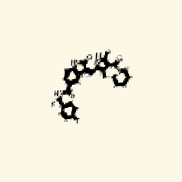 Cc1[nH]c(/C=C2\C(=O)Nc3ccc(C(=O)N[C@@H](C)c4ccc(F)cc4)cc32)c(C)c1C(=O)N1CCCCC1